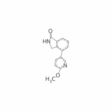 COc1ccc(-c2cccc3c2CNC3=O)cn1